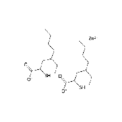 CCCCC(CC)CC(S)C(=O)[O-].CCCCC(CC)CC(S)C(=O)[O-].[Zn+2]